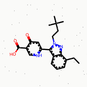 CCc1cccc2c(-c3cc(=O)c(C(=O)O)c[nH]3)n(CCC(C)(C)C)nc12